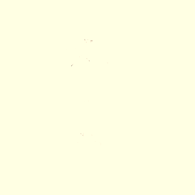 COC(=O)[C@H](Cc1ccc(OCCCN(C(=O)C(C)C)c2ccccc2F)cc1)Nc1ccccc1C(=O)c1ccccc1